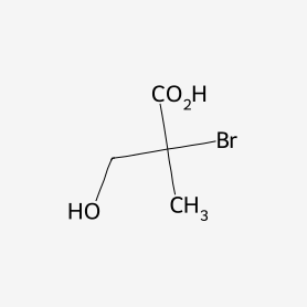 CC(Br)(CO)C(=O)O